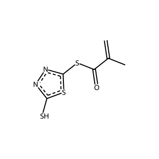 C=C(C)C(=O)Sc1nnc(S)s1